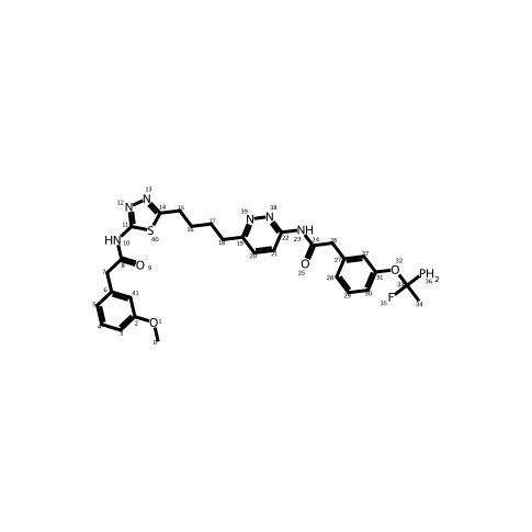 COc1cccc(CC(=O)Nc2nnc(CCCCc3ccc(NC(=O)Cc4cccc(OC(C)(F)P)c4)nn3)s2)c1